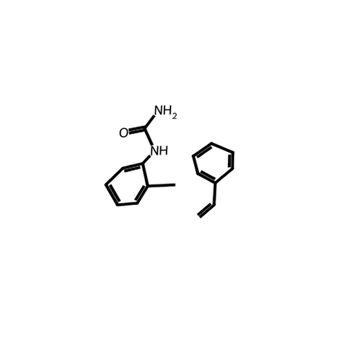 C=Cc1ccccc1.Cc1ccccc1NC(N)=O